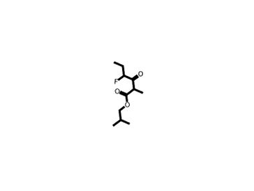 CCC(F)C(=O)C(C)C(=O)OCC(C)C